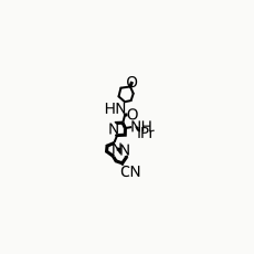 CC(C)Nc1cc(-c2ccc3cc(C#N)cnn23)ncc1C(=O)NC1CCC(=O)CC1